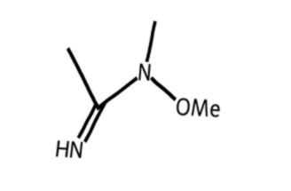 CON(C)C(C)=N